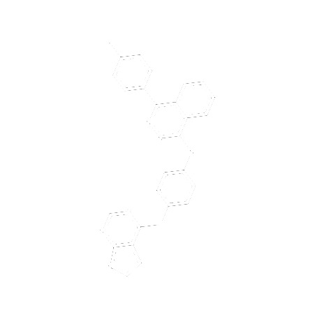 Clc1ccc(-c2nnc(Nc3ccc(Oc4ncnc5[nH]ccc45)cc3)c3ccccc23)cc1